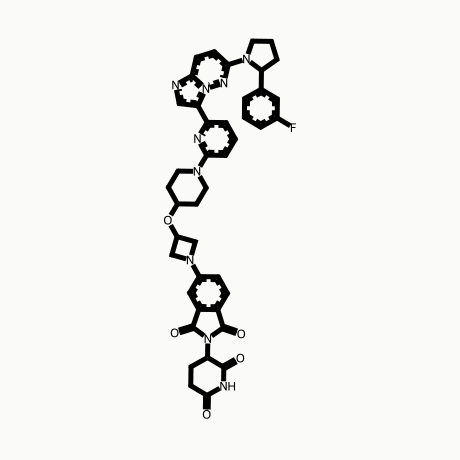 O=C1CCC(N2C(=O)c3ccc(N4CC(OC5CCN(c6cccc(-c7cnc8ccc(N9CCCC9c9cccc(F)c9)nn78)n6)CC5)C4)cc3C2=O)C(=O)N1